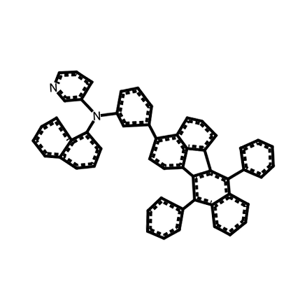 c1ccc(-c2c3c(c(-c4ccccc4)c4ccccc24)-c2ccc(-c4cccc(N(c5cccnc5)c5cccc6ccccc56)c4)c4cccc-3c24)cc1